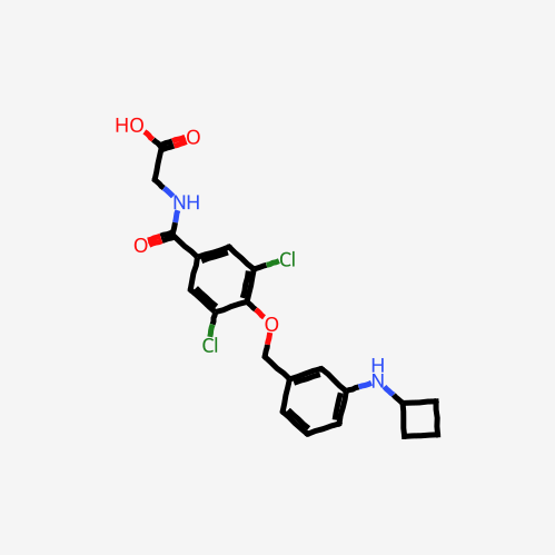 O=C(O)CNC(=O)c1cc(Cl)c(OCc2cccc(NC3CCC3)c2)c(Cl)c1